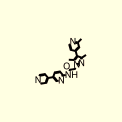 Cc1cc(-c2c(C)nn(CC(=O)Nc3ccc(-c4ccncc4)cn3)c2C)ccn1